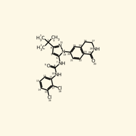 CC(C)(C)c1cc(NC(=O)Nc2cccc(Cl)c2Cl)n(-c2ccc3c(c2)CCNC3=O)n1